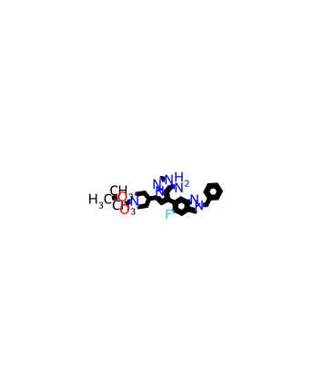 CC(C)(C)OC(=O)N1CCC(c2cc(-c3cc4nn(Cc5ccccc5)cc4cc3F)c3c(N)ncnn23)CC1